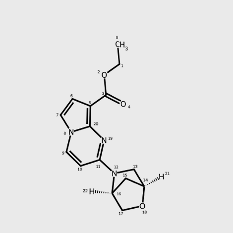 CCOC(=O)c1ccn2ccc(N3C[C@@H]4C[C@H]3CO4)nc12